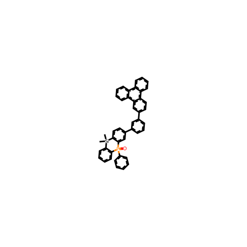 C[Si]1(C)c2ccccc2P(=O)(c2ccccc2)c2cc(-c3cccc(-c4ccc5c6ccccc6c6ccccc6c5c4)c3)ccc21